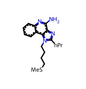 CCCc1nc2c(N)nc3ccccc3c2n1CCCCSC